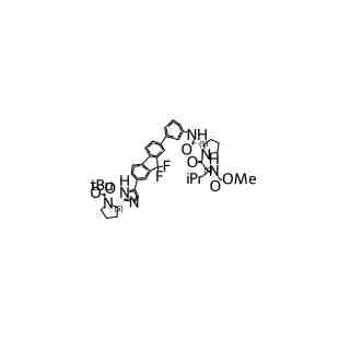 COC(=O)N[C@H](C(=O)N1CCC[C@H]1C(=O)Nc1cccc(-c2ccc3c(c2)C(F)(F)c2cc(-c4cnc([C@@H]5CCCN5C(=O)OC(C)(C)C)[nH]4)ccc2-3)c1)C(C)C